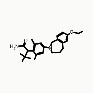 CCOc1ccc2c(c1)CCCN(c1cc(C)c(C(C(N)=O)C(C)(C)C)c(C)c1)C2